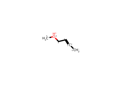 [CH2-]/[C+]=C/C[OH+][CH2-]